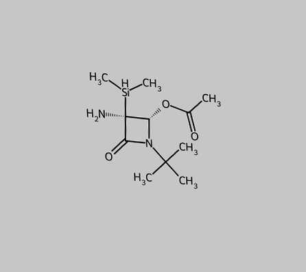 CC(=O)O[C@@H]1N(C(C)(C)C)C(=O)[C@@]1(N)[SiH](C)C